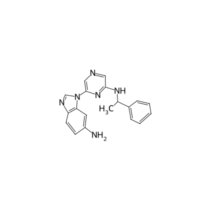 CC(Nc1cncc(-n2cnc3ccc(N)cc32)n1)c1ccccc1